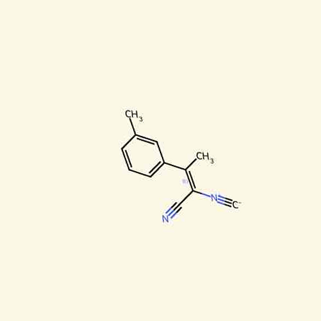 [C-]#[N+]/C(C#N)=C(\C)c1cccc(C)c1